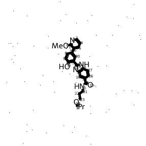 COc1ncccc1-c1ccc(O)c(-c2nc3cc(C(=O)NCCCOC(C)C)ccc3[nH]2)c1